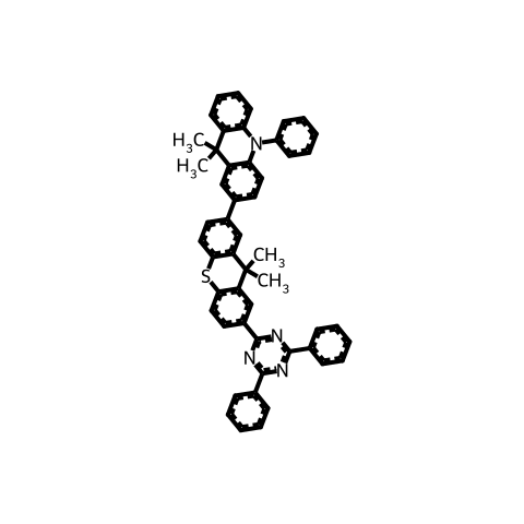 CC1(C)c2cc(-c3ccc4c(c3)C(C)(C)c3ccccc3N4c3ccccc3)ccc2Sc2ccc(-c3nc(-c4ccccc4)nc(-c4ccccc4)n3)cc21